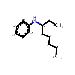 CCCCCC(CC)Nc1ccccc1